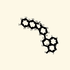 Cc1ccc2cccc3c2c1CC=C3c1ccc2sc3cc4ccccc4cc3c2c1